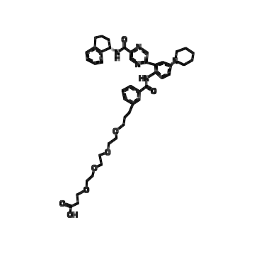 O=C(O)CCOCCOCCOCCOCCCc1cccc(C(=O)Nc2ccc(N3CCCCC3)cc2-c2cnc(C(=O)N[C@H]3CCCc4ccccc43)cn2)c1